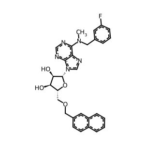 CN(Cc1cccc(F)c1)c1ncnc2c1ncn2[C@@H]1O[C@H](COCc2ccc3ccccc3c2)[C@@H](O)[C@H]1O